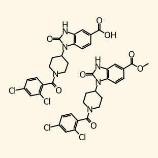 COC(=O)c1ccc2c(c1)[nH]c(=O)n2C1CCN(C(=O)c2ccc(Cl)cc2Cl)CC1.O=C(O)c1ccc2c(c1)[nH]c(=O)n2C1CCN(C(=O)c2ccc(Cl)cc2Cl)CC1